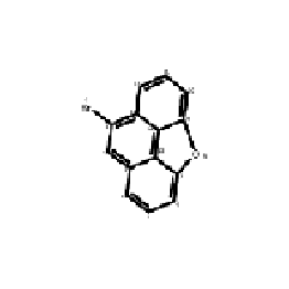 Brc1cc2cccc3oc4cccc1c4c23